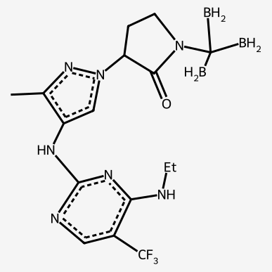 BC(B)(B)N1CCC(n2cc(Nc3ncc(C(F)(F)F)c(NCC)n3)c(C)n2)C1=O